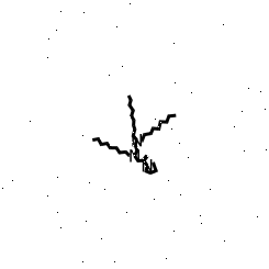 C=C(CN(CCCCCCCCC)CCN(CCCCCCCCC)CCCCCCCCC)N1CCCC1